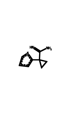 N=C(N)C1(c2cccs2)CC1